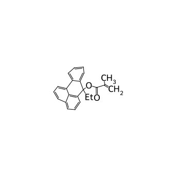 C=C(C)C(=O)OC1(CC)c2ccccc2-c2cccc3cccc1c23